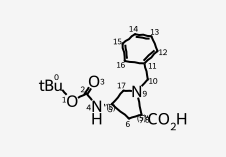 CC(C)(C)OC(=O)N[C@H]1C[C@@H](C(=O)O)N(Cc2ccccc2)C1